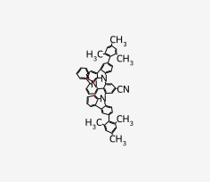 Cc1cc(C)c(-c2ccc3c(c2)c2ccccc2n3-c2cc(C#N)cc(-n3c4ccccc4c4cc(-c5c(C)cc(C)cc5C)ccc43)c2-c2cccc(-c3ccccc3)n2)c(C)c1